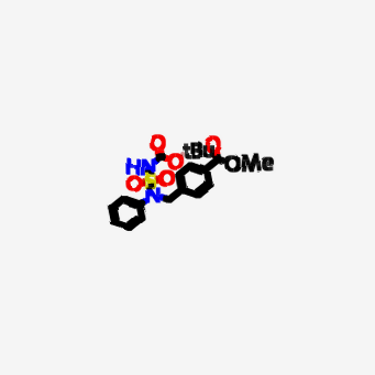 COC(=O)c1ccc(CN(c2ccccc2)S(=O)(=O)NC(=O)OC(C)(C)C)cc1